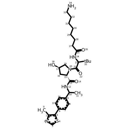 Cc1ncsc1-c1ccc(C(C)NC(=O)[C@@H]2C[C@@H](O)CN2C(=O)C(NC(=O)CCCCCCCN)C(C)(C)C)cc1